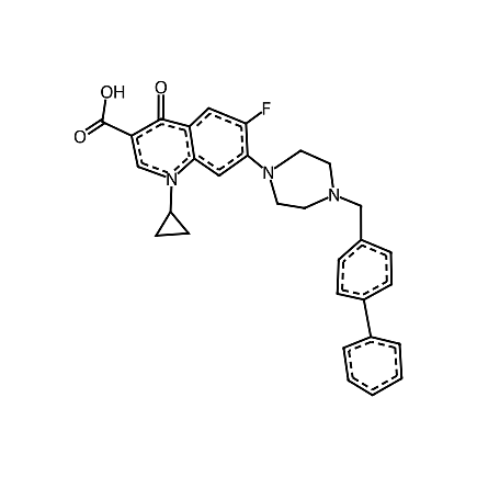 O=C(O)c1cn(C2CC2)c2cc(N3CCN(Cc4ccc(-c5ccccc5)cc4)CC3)c(F)cc2c1=O